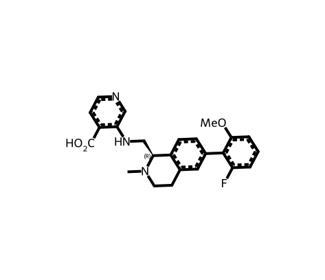 COc1cccc(F)c1-c1ccc2c(c1)CCN(C)[C@H]2CNc1cnccc1C(=O)O